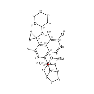 Cc1nc(N2CC3CCC(C2)N3C(=O)OC(C)(C)C)c2cnc(Cl)c(F)c2c1C1(OC2CCCCO2)CC1